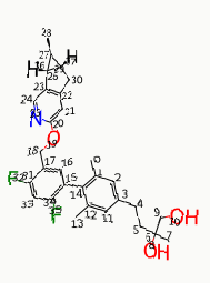 Cc1cc(CCC(C)(O)CO)cc(C)c1-c1cc(COc2cc3c(cn2)[C@@H]2[C@@H](C)[C@@H]2C3)c(F)cc1F